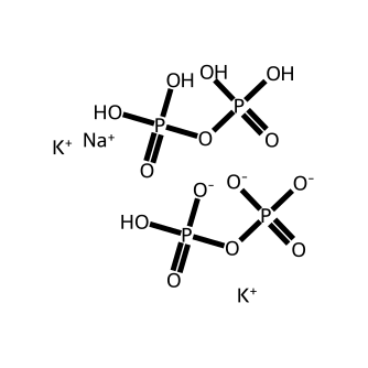 O=P(O)(O)OP(=O)(O)O.O=P([O-])([O-])OP(=O)([O-])O.[K+].[K+].[Na+]